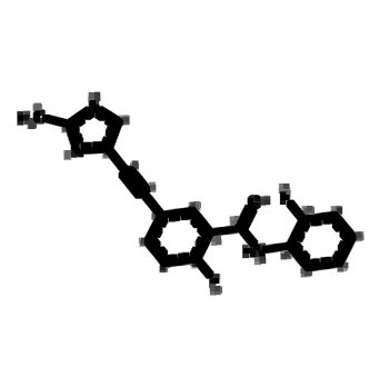 Cc1nc(C#Cc2ccc(F)c(C(=O)Nc3ccccc3F)c2)cs1